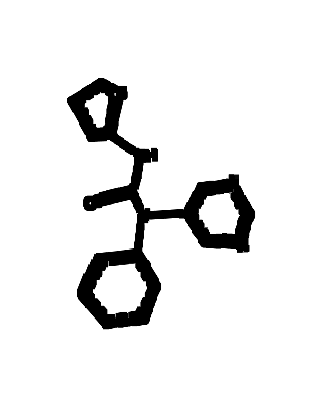 O=C(Nc1cccs1)N(c1ccccc1)c1cncnc1